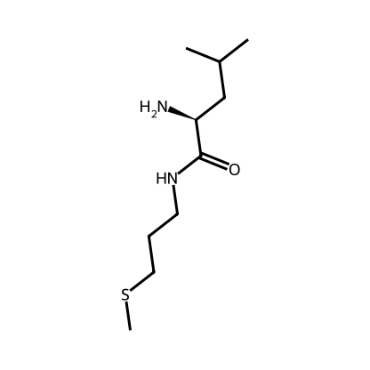 CSCCCNC(=O)[C@@H](N)CC(C)C